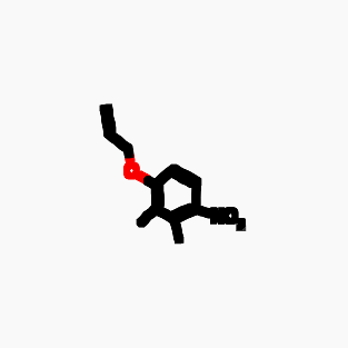 C=CCOc1ccc([N+](=O)[O-])c(C)c1C